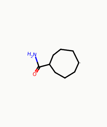 NC(=O)C1CCC[CH]CCC1